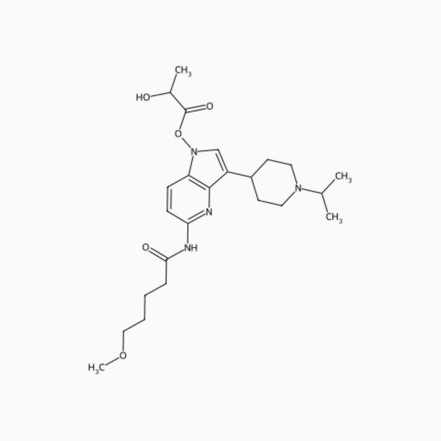 COCCCCC(=O)Nc1ccc2c(n1)c(C1CCN(C(C)C)CC1)cn2OC(=O)C(C)O